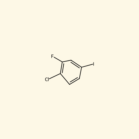 Fc1cc(I)ccc1Cl